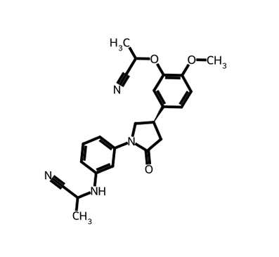 COc1ccc([C@H]2CC(=O)N(c3cccc(NC(C)C#N)c3)C2)cc1OC(C)C#N